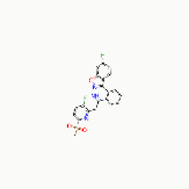 CS(=O)(=O)c1ccc(F)c(CC(N)c2ccccc2-c2noc3cc(F)ccc23)n1